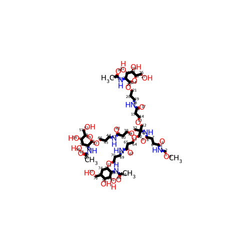 COCNC(=O)CCC(=O)NC(COCCC(=O)NCCCO[C@@H]1OC(CO)[C@@H](O)[C@H](O)C1NC(C)=O)(COCCC(=O)NCCCO[C@@H]1OC(CO)[C@@H](O)[C@H](O)C1NC(C)=O)COCCC(=O)NCCCO[C@@H]1CC(CO)[C@@H](O)[C@H](O)C1NC(C)=O